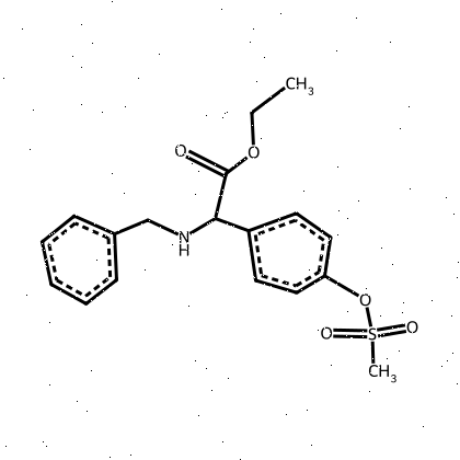 CCOC(=O)C(NCc1ccccc1)c1ccc(OS(C)(=O)=O)cc1